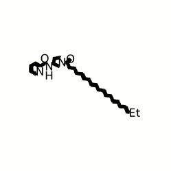 CCC=CCC=CCC=CCC=CCC=CCCCC(=O)N1CC[C@H](NC(=O)c2ccccn2)C1